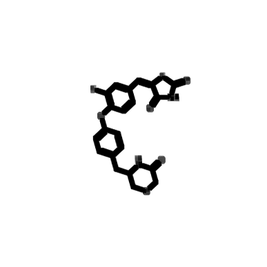 O=C1COCC(Cc2ccc(Oc3ccc(C=C4SC(=O)NC4=O)cc3F)cc2)N1